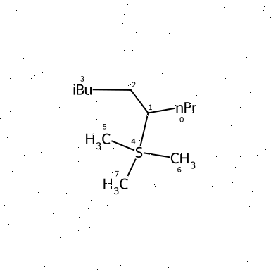 CCCC(CC(C)CC)S(C)(C)C